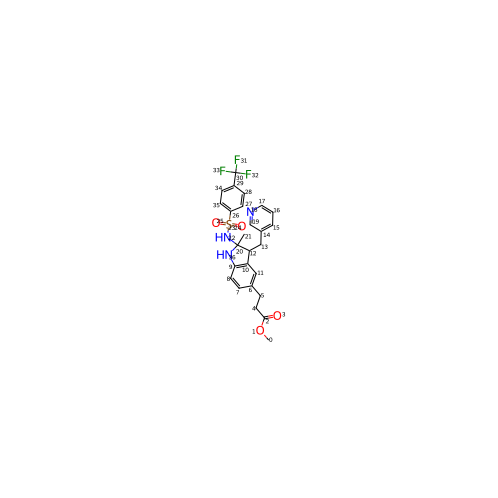 COC(=O)CCc1ccc2c(c1)C(Cc1cccnc1)C(C)(NS(=O)(=O)c1ccc(C(F)(F)F)cc1)N2